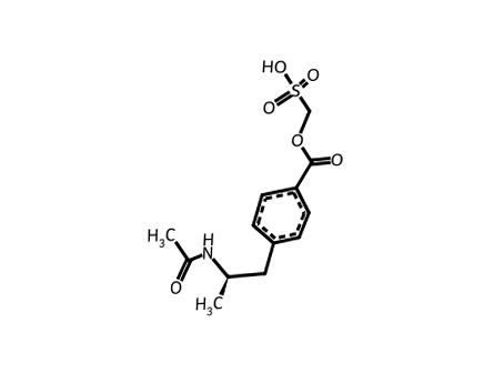 CC(=O)N[C@H](C)Cc1ccc(C(=O)OCS(=O)(=O)O)cc1